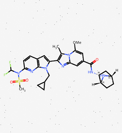 COc1cc(C(=O)N[C@@H]2C[C@@H]3CC[C@H]2N3)cc2nc(-c3cc4ccc(N(C(F)F)S(C)(=O)=O)nc4n3CC3CC3)c(C)n12